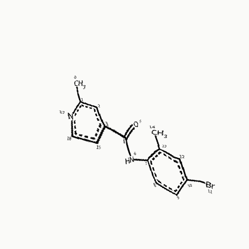 Cc1cc(C(=O)Nc2ccc(Br)cc2C)ccn1